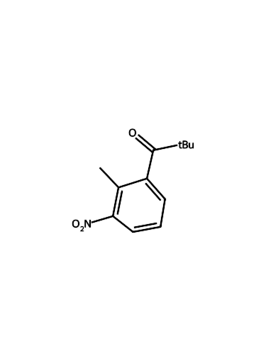 Cc1c(C(=O)C(C)(C)C)cccc1[N+](=O)[O-]